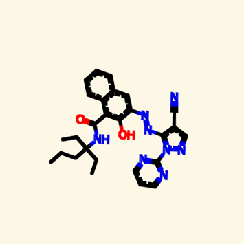 CCCC(CC)(CC)NC(=O)c1c(O)c(/N=N/c2c(C#N)cnn2-c2ncccn2)cc2ccccc12